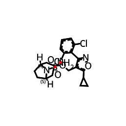 NS(=O)(=O)N1[C@@H]2CC[C@H]1CC(OCc1c(-c3c(Cl)cccc3Cl)noc1C1CC1)C2